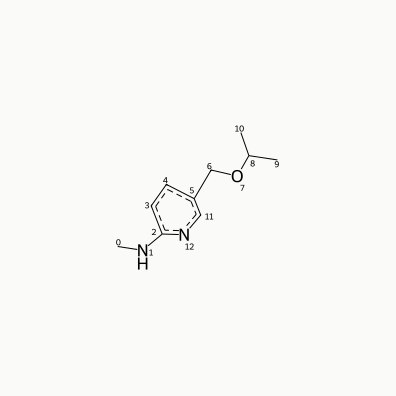 CNc1ccc(COC(C)C)cn1